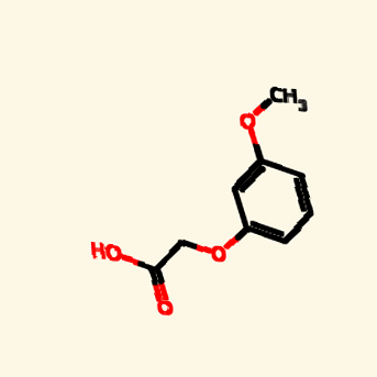 COc1cccc(OCC(=O)O)c1